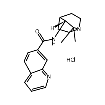 CC1(C)[C@H](NC(=O)c2ccc3cccnc3c2)C2CCN1CC2.Cl